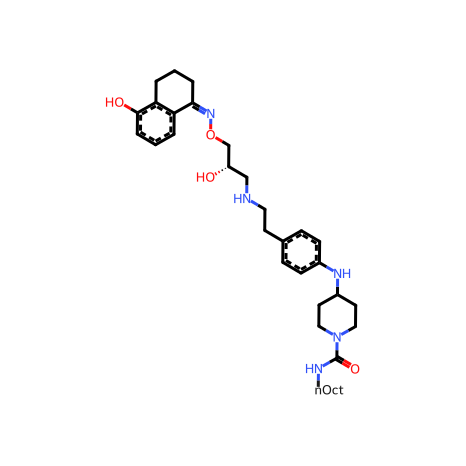 CCCCCCCCNC(=O)N1CCC(Nc2ccc(CCNC[C@H](O)CO/N=C3/CCCc4c(O)cccc43)cc2)CC1